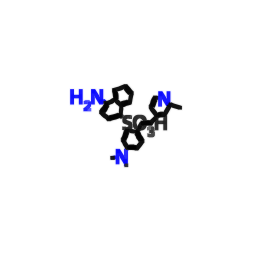 Cc1cc(C=Cc2ccc(N(C)C)cc2)ccn1.Nc1ccc(S(=O)(=O)O)c2ccccc12